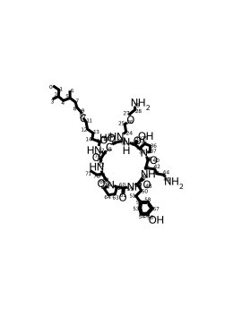 CCC(C)CC(C)CCCCCCCCC(=O)N[C@H]1C[C@@H](O)C(NCCOCCN)NC(=O)C2[C@@H](O)CCN2C(=O)C(CCCN)NC(=O)C(CCc2ccc(O)cc2)NC(=O)C2CCCN2C(=O)C(CC)NC1=O